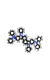 c1ccc(N(c2ccccc2)c2ccc3c4c5ccc6c(c5ccc4n(-c4ccccc4)c3c2)c2ccc(N(c3ccccc3)c3ccccc3)cc2n6-c2ccccc2)cc1